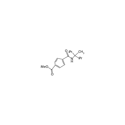 COC(=O)c1ccc(C(=O)NC(C)(C(C)C)C(C)C)cc1